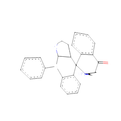 O=C1c2ccccc2C2(c3ccccc3B(c3ccccc3)C3NCCCC32)C2NCCCC12